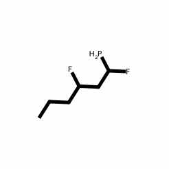 CCCC(F)CC(F)P